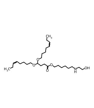 CC/C=C\CCCCOC(CCC(=O)OCCCCCCNCCO)OCCCC/C=C\CC